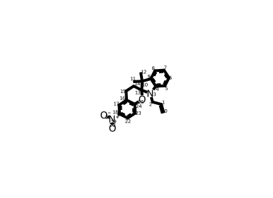 C=CCN1c2ccccc2C(C)(C)C12CCc1cc([N+](=O)[O-])ccc1O2